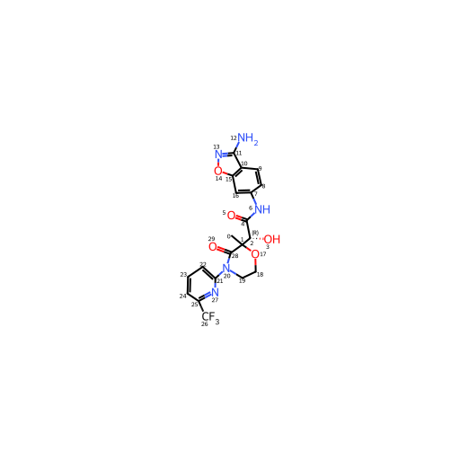 CC1([C@@H](O)C(=O)Nc2ccc3c(N)noc3c2)OCCN(c2cccc(C(F)(F)F)n2)C1=O